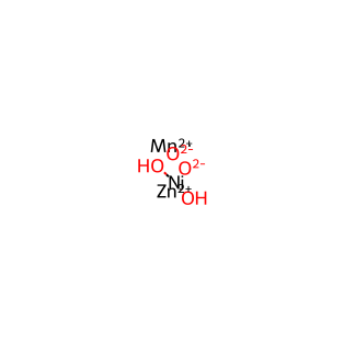 [Mn+2].[O-2].[O-2].[OH][Ni][OH].[Zn+2]